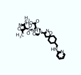 Cc1noc(C)c1S(=O)(=O)N[C@@H](CN(C=O)C1=NOC2(CCC(CNc3ccccn3)CC2)C1)C(=O)O